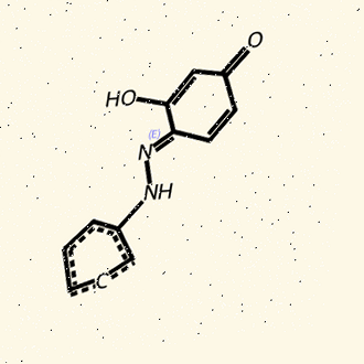 O=C1C=C/C(=N\Nc2ccccc2)C(O)=C1